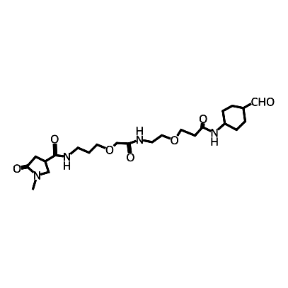 CN1CC(C(=O)NCCCOCC(=O)NCCOCCC(=O)NC2CCC(C=O)CC2)CC1=O